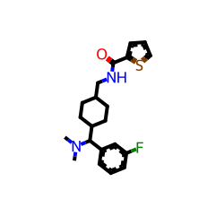 CN(C)C(c1cccc(F)c1)C1CCC(CNC(=O)c2cccs2)CC1